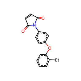 CCc1c[c]ccc1Oc1ccc(N2C(=O)C=CC2=O)cc1